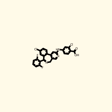 O=C(O)c1ccc(Nc2cc3c(cn2)CN=C(c2c(F)cccc2F)c2cc(Cl)ccc2-3)cc1Cl